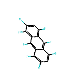 Fc1cc(F)c2c(F)c3c(F)cc(F)c(F)c3c(F)c2c1F